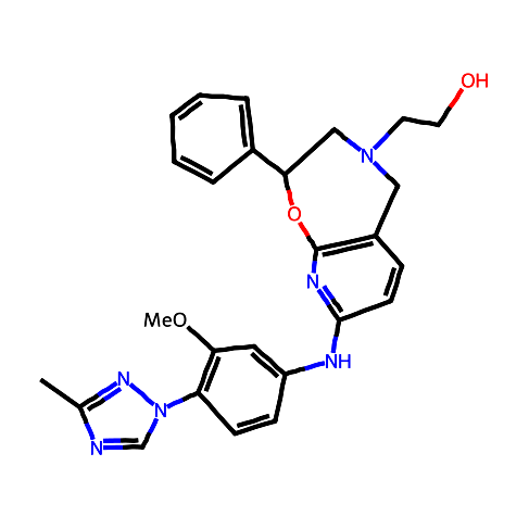 COc1cc(Nc2ccc3c(n2)OC(c2ccccc2)CN(CCO)C3)ccc1-n1cnc(C)n1